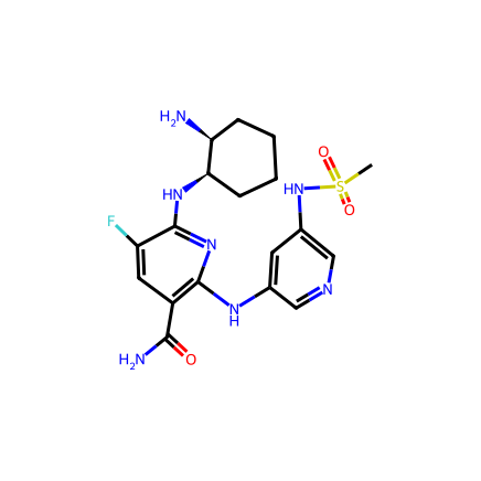 CS(=O)(=O)Nc1cncc(Nc2nc(N[C@@H]3CCCC[C@@H]3N)c(F)cc2C(N)=O)c1